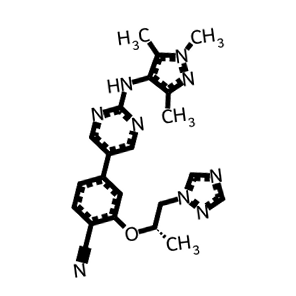 Cc1nn(C)c(C)c1Nc1ncc(-c2ccc(C#N)c(O[C@@H](C)Cn3cncn3)c2)cn1